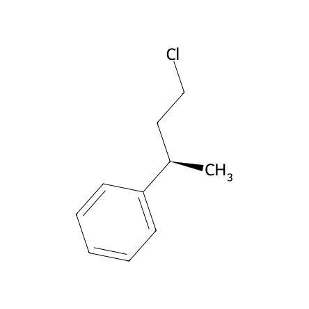 C[C@H](CCCl)c1ccccc1